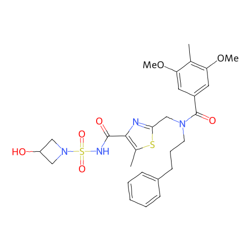 COc1cc(C(=O)N(CCCc2ccccc2)Cc2nc(C(=O)NS(=O)(=O)N3CC(O)C3)c(C)s2)cc(OC)c1C